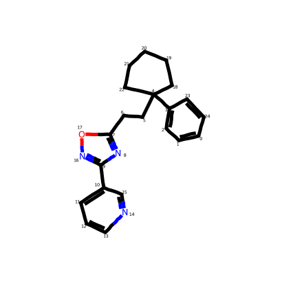 c1ccc(C2(CCc3nc(-c4cccnc4)no3)CCCCC2)cc1